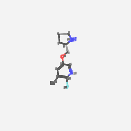 CCc1cc(OC[C@@H]2CCCN2)cnc1F